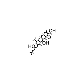 CC1=C(C(C)O)C(=O)[C@@]2(C)C(C)C3C(O)C4C(C)C(CC(O)CCC(C)(C)C)CC(C(C)C)C4C[C@@]3(C)C[C@@]2(C)C1